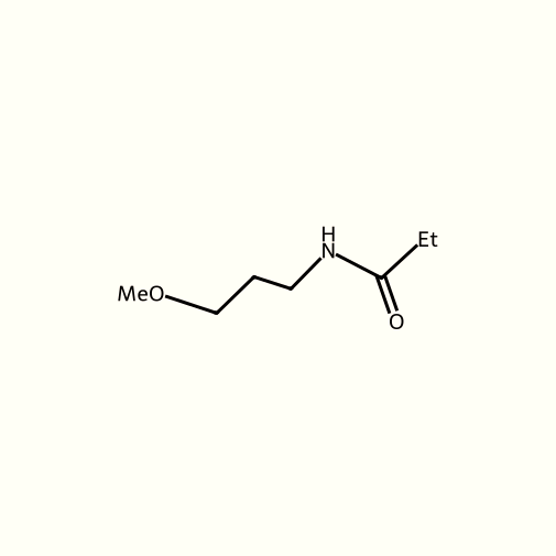 [CH2]CC(=O)NCCCOC